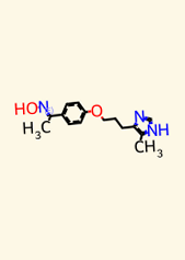 C/C(=N\O)c1ccc(OCCCc2nc[nH]c2C)cc1